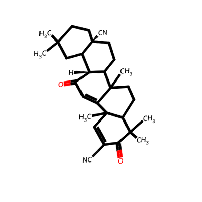 CC1(C)CC[C@]2(C#N)CCC3[C@H](C(=O)C=C4C5(C)C=C(C#N)C(=O)C(C)(C)C5CCC43C)C2C1